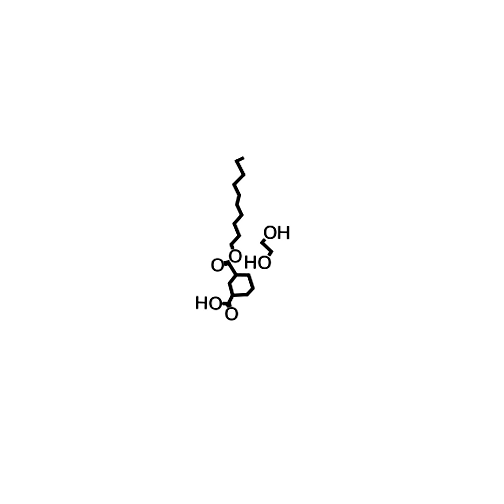 CCCCCCCCCCOC(=O)C1CCCC(C(=O)O)C1.OCCO